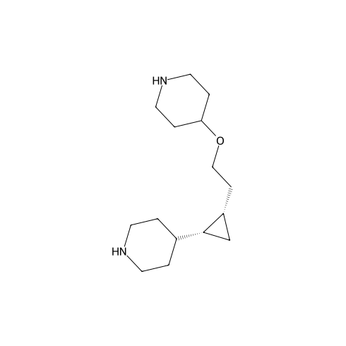 C1CC(OCC[C@@H]2C[C@@H]2C2CCNCC2)CCN1